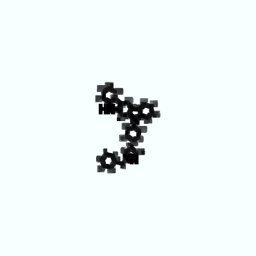 c1ccc(Cn2cc(-c3ccc(-n4c5ccccc5c5cc6c(cc54)[nH]c4ccccc46)cc3)cn2)cc1